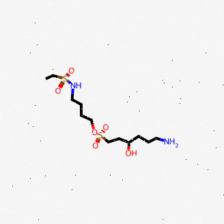 CCS(=O)(=O)NCCCCOS(=O)(=O)CCC(O)CCCN